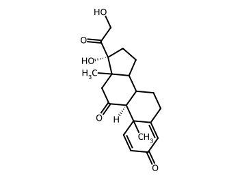 CC12C=CC(=O)C=C1CCC1C3CC[C@](O)(C(=O)CO)C3(C)CC(=O)[C@@H]12